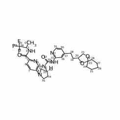 CC(NC(=O)c1ccc2c(n1)N(C(=O)Nc1cc(CCC3COC4(CCCCC4)O3)ccn1)[C@H]1CCN2C1)C(F)(F)F